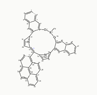 CB1Oc2cc3ccccc3cc2C2=N/C(=C(/c3ccc4ccc5cccc6ccc3c4c56)c3ccc([nH]3)-c3cc4ccccc4cc3O1)C=C2